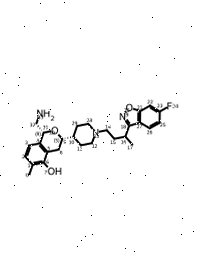 Cc1ccc2c(c1O)C[C@@H](C1CCN(CCC(C)c3noc4cc(F)ccc34)CC1)O[C@H]2CN